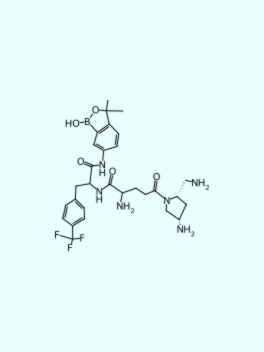 CC1(C)OB(O)c2cc(NC(=O)C(Cc3ccc(C(F)(F)F)cc3)NC(=O)C(N)CCC(=O)N3C[C@@H](N)C[C@H]3CN)ccc21